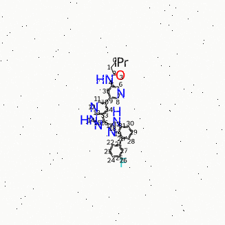 CC(C)CC(=O)Nc1cncc(-c2cnc3[nH]nc(-c4nc5c(-c6cccc(F)c6)cccc5[nH]4)c3c2)c1